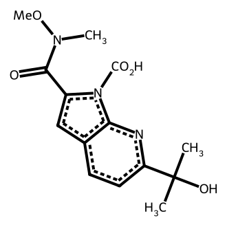 CON(C)C(=O)c1cc2ccc(C(C)(C)O)nc2n1C(=O)O